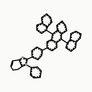 C1=Cc2nc(-c3ccc(-c4ccc5c(-c6cccc7ccccc67)c6ccccc6c(-c6cccc7ccccc67)c5c4)cc3)n(-c3ccccc3)c2CC1